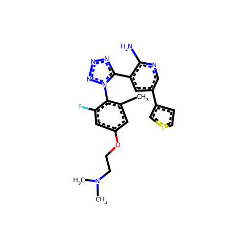 Cc1cc(OCCN(C)C)cc(F)c1-n1nnnc1-c1cc(-c2ccsc2)cnc1N